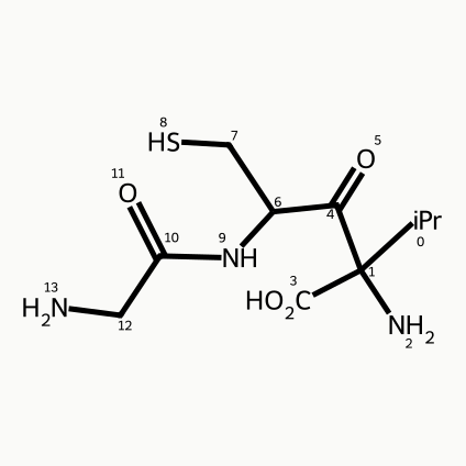 CC(C)C(N)(C(=O)O)C(=O)C(CS)NC(=O)CN